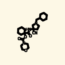 N#CC1(NC(=O)C2(OC(=O)N3CCOCC3)CCCCC2)CCN(CC2CCCCC2)C1